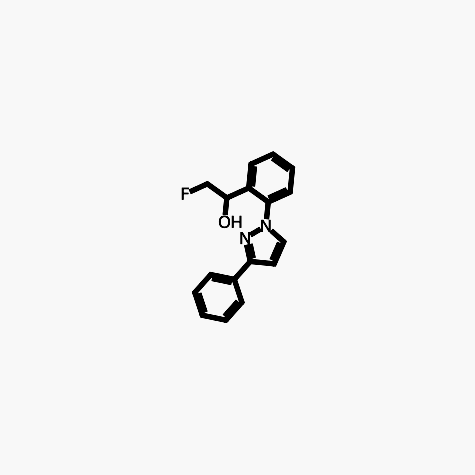 OC(CF)c1ccccc1-n1ccc(-c2ccccc2)n1